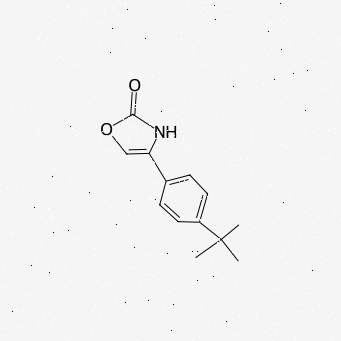 CC(C)(C)c1ccc(-c2coc(=O)[nH]2)cc1